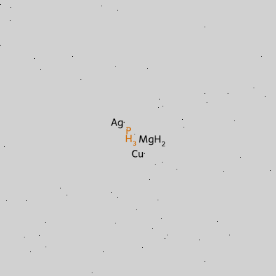 P.[Ag].[Cu].[MgH2]